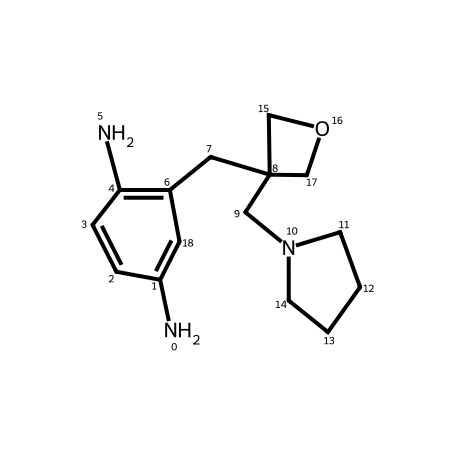 Nc1ccc(N)c(CC2(CN3CCCC3)COC2)c1